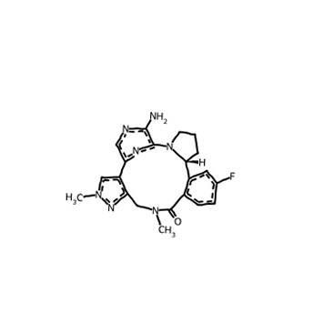 CN1Cc2nn(C)cc2-c2cnc(N)c(n2)N2CCC[C@@H]2c2cc(F)ccc2C1=O